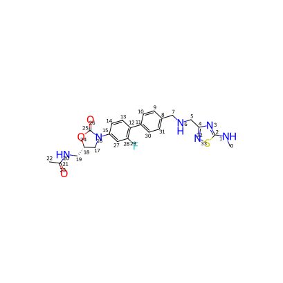 CNc1nc(CNCc2ccc(-c3ccc(N4C[C@H](CNC(C)=O)OC4=O)cc3F)cc2)ns1